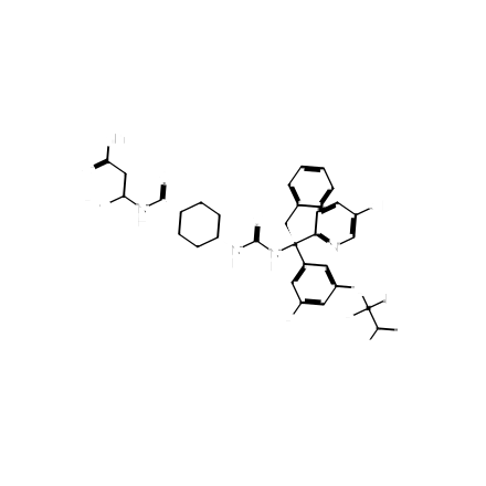 CCCC(=O)CC(NC(=O)[C@H]1CC[C@@H](NC(=O)N[C@@](Cc2ccccc2)(c2cc(F)cc(OC(F)(F)C(F)F)c2)c2ccc(Cl)cn2)CC1)C(F)(F)F